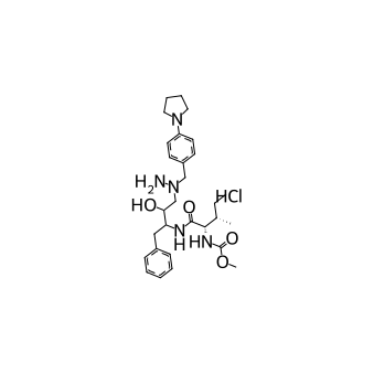 CC[C@H](C)[C@H](NC(=O)OC)C(=O)NC(Cc1ccccc1)C(O)CN(N)Cc1ccc(N2CCCC2)cc1.Cl